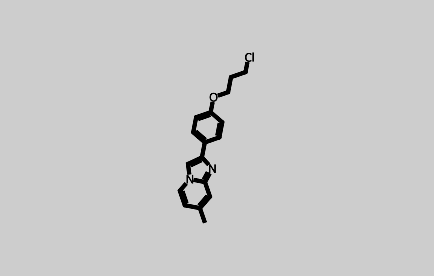 Cc1ccn2cc(-c3ccc(OCCCCl)cc3)nc2c1